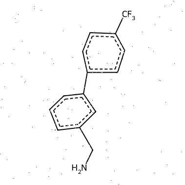 NCc1[c]ccc(-c2ccc(C(F)(F)F)cc2)c1